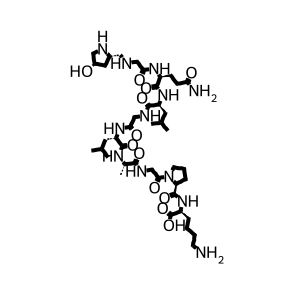 CC(C)C[C@H](NC(=O)CNC(=O)[C@H](CC(C)C)NC(=O)[C@H](CCC(N)=O)NC(=O)CNC[C@@H]1C[C@@H](O)CN1)C(=O)N[C@@H](C)C(=O)NCC(=O)N1CCC[C@H]1C(=O)N[C@@H](CCCCN)C(=O)O